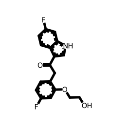 O=C(Cc1ccc(F)cc1OCCO)c1c[nH]c2cc(F)ccc12